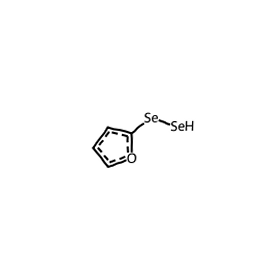 [SeH][Se]c1ccco1